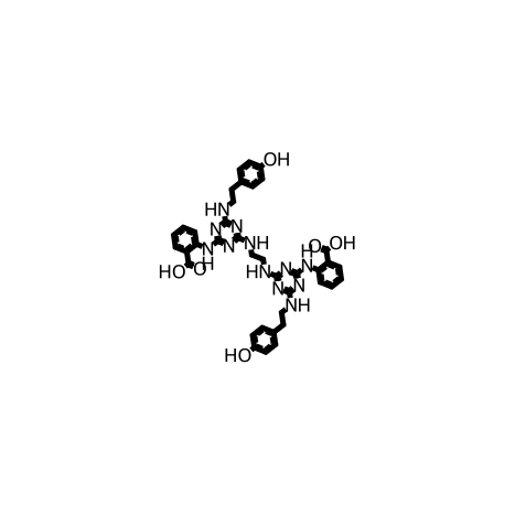 O=C(O)c1ccccc1Nc1nc(NCCNc2nc(NCCc3ccc(O)cc3)nc(Nc3ccccc3C(=O)O)n2)nc(NCCc2ccc(O)cc2)n1